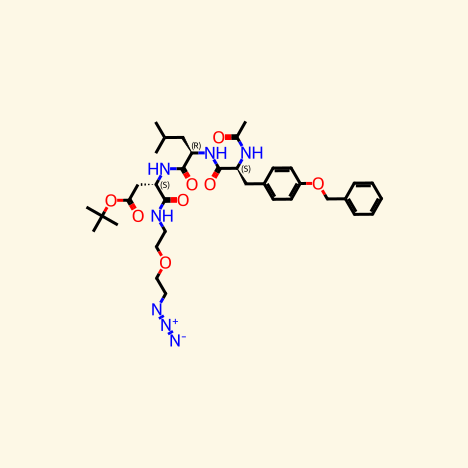 CC(=O)N[C@@H](Cc1ccc(OCc2ccccc2)cc1)C(=O)N[C@H](CC(C)C)C(=O)N[C@@H](CC(=O)OC(C)(C)C)C(=O)NCCOCCN=[N+]=[N-]